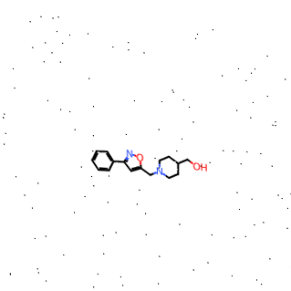 OCC1CCN(Cc2cc(-c3ccccc3)no2)CC1